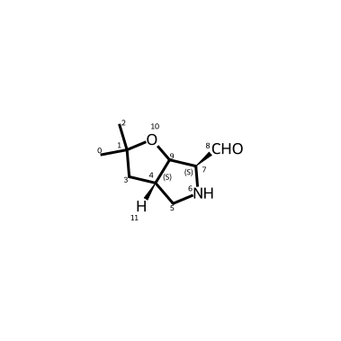 CC1(C)C[C@H]2CN[C@H](C=O)C2O1